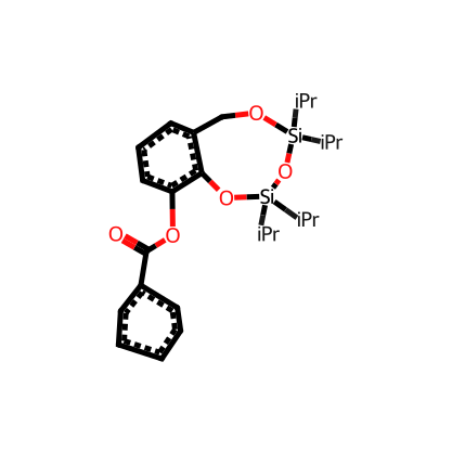 CC(C)[Si]1(C(C)C)OCc2cccc(OC(=O)c3ccccc3)c2O[Si](C(C)C)(C(C)C)O1